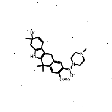 COc1cc2c(cc1[S+]([O-])N1CCN(C)CC1)Cc1c([nH]c3c1C=CC(C)(Br)C3)C2(C)C